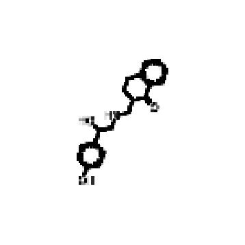 O=C1c2ccccc2CCC1CNCC(O)c1ccc(O)cc1